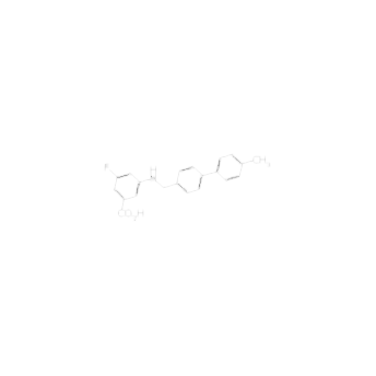 Cc1ccc(-c2ccc(CNc3cc(F)cc(C(=O)O)c3)cc2)cc1